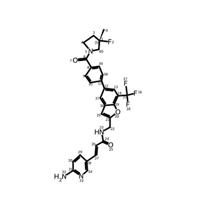 C[C@]1(F)CCN(C(=O)c2ccc(-c3cc(C(F)(F)F)c4oc(CNC(=O)C=Cc5ccc(N)nc5)cc4c3)cc2)C1